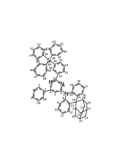 c1ccc(-c2cc(N3c4ccccc4C4(c5ccccc53)C3CC5CC(C3)CC4C5)nc(-c3cccc([Si](c4ccccc4)(c4ccccc4)c4ccccc4)c3)n2)cc1